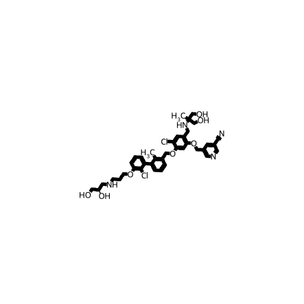 Cc1c(COc2cc(OCc3cncc(C#N)c3)c(CNC(C)(CO)CO)cc2Cl)cccc1-c1cccc(OCCCNC[C@H](O)CO)c1Cl